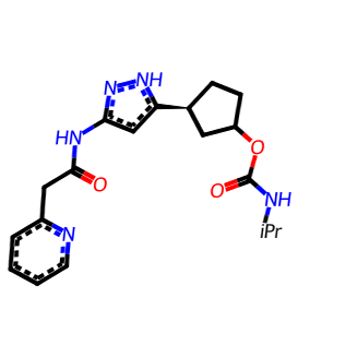 CC(C)NC(=O)OC1CC[C@H](c2cc(NC(=O)Cc3ccccn3)n[nH]2)C1